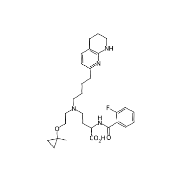 CC1(OCCN(CCCCc2ccc3c(n2)NCCC3)CCC(NC(=O)c2ccccc2F)C(=O)O)CC1